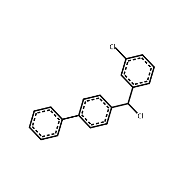 Clc1cccc(C(Cl)c2ccc(-c3ccccc3)cc2)c1